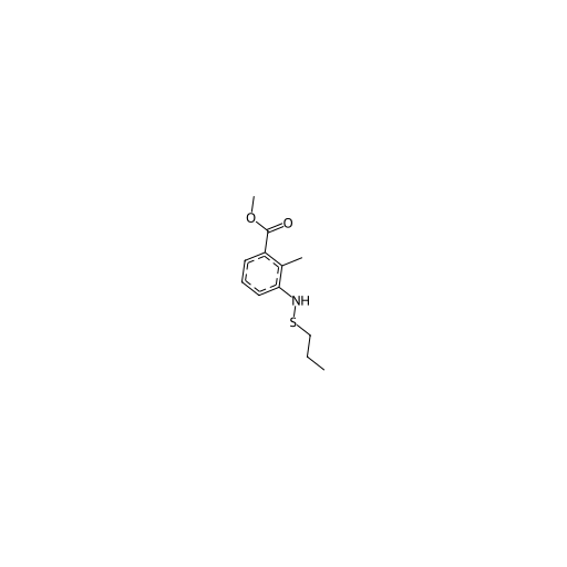 CCCSNc1cccc(C(=O)OC)c1C